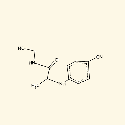 CC(Nc1ccc(C#N)cc1)C(=O)NCC#N